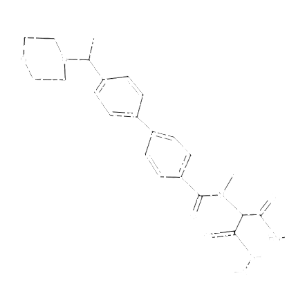 CNC(=O)C(C(=O)NO)N(C)C(=O)c1ccc(-c2ccc(C(C)N3CCOCC3)cc2)cc1